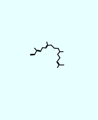 C=C/C(C)=C/C/C=C(\C)CCCC(C)CCC=C(C)C